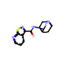 O=C(NC1CN2CCC1CC2)c1nsc2ncccc12